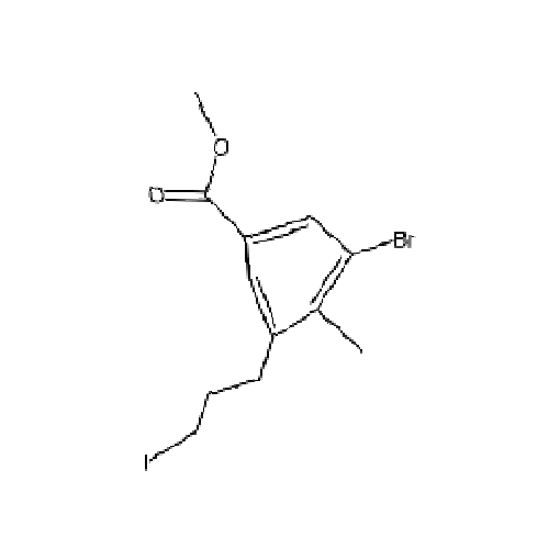 COC(=O)c1cc(Br)c(C)c(CCCI)c1